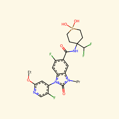 CCOc1cc(-n2c(=O)n(C(C)C)c3cc(C(=O)NC4(C(F)F)CCS(O)(O)CC4)c(F)cc32)c(F)cn1